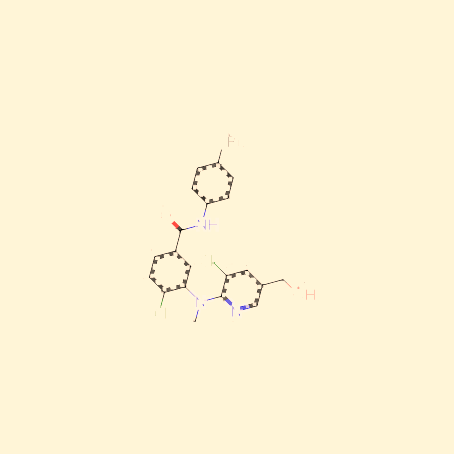 CN(c1cc(C(=O)Nc2ccc(C(C)(C)C)cc2)ccc1Cl)c1ncc(CO)cc1Cl